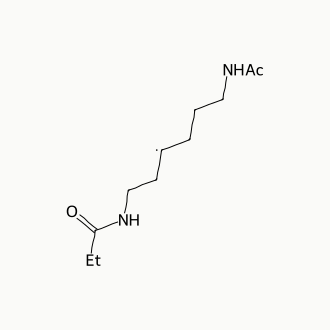 CCC(=O)NCC[CH]CCCNC(C)=O